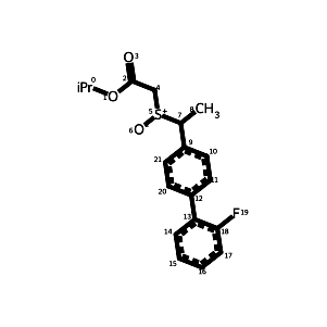 CC(C)OC(=O)C[S+]([O-])C(C)c1ccc(-c2ccccc2F)cc1